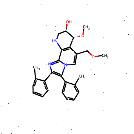 COCc1cn2c(-c3ccccc3C)c(-c3ccccc3C)nc2c2c1[C@@H](OC)[C@H](O)CN2